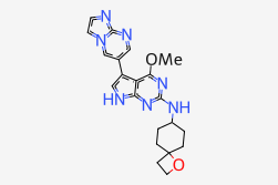 COc1nc(NC2CCC3(CCO3)CC2)nc2[nH]cc(-c3cnc4nccn4c3)c12